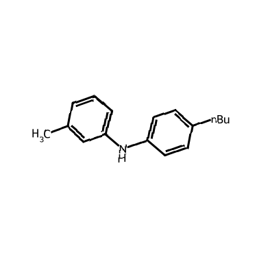 CCCCc1ccc(Nc2cccc(C)c2)cc1